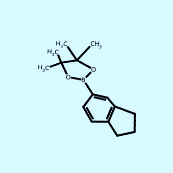 CC1(C)OB(c2ccc3c(c2)CCC3)OC1(C)C